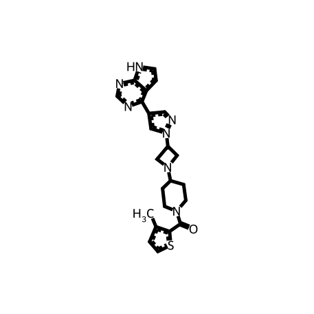 Cc1ccsc1C(=O)N1CCC(N2C[C](n3cc(-c4ncnc5[nH]ccc45)cn3)C2)CC1